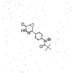 CC(C)(C)C(=O)N(Br)c1ccc(C2=NNC(=O)C3CC23)cc1